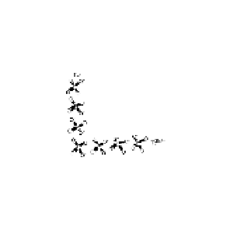 O=P([O-])([O-])[O-].O=P([O-])([O-])[O-].O=P([O-])([O-])[O-].O=P([O-])([O-])[O-].O=P([O-])([O-])[O-].O=P([O-])([O-])[O-].O=P([O-])([O-])[O-].[Tc+7].[Tc+7].[Tc+7]